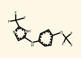 FC(F)(F)Oc1ccc(Nc2cnc(C(F)(F)F)[nH]2)cc1